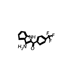 Nc1c(C(=O)c2ccc(C(F)(F)F)cc2)[nH]c2ccccc12